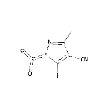 CC1=NS(=S(=O)=O)C(C)=C1C#N